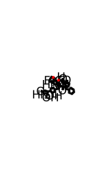 O=C1CC(c2ccc(CC(NC(=O)C3(Cc4ccccc4)CCC(=O)N3OC(=O)C(F)(F)F)c3nc4ccccc4[nH]3)cc2)S(O)(O)N1